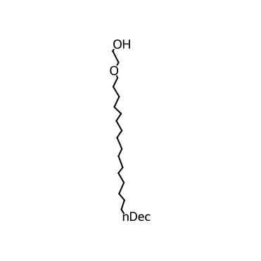 CCCCCCCCCCCCCCCCCCCCCCCCCCOCCO